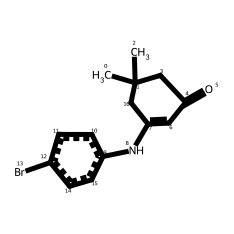 CC1(C)CC(=O)C=C(Nc2ccc(Br)cc2)C1